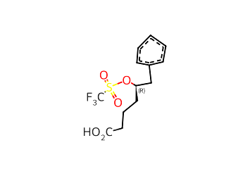 O=C(O)CCC[C@H](Cc1ccccc1)OS(=O)(=O)C(F)(F)F